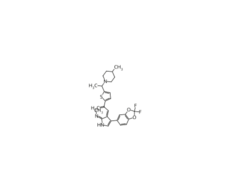 C=C(/C=C1/C(c2ccc3c(c2)OC(F)(F)O3)=CN/C1=N/C)c1ccc(C(C)N2CCC(C)CC2)s1